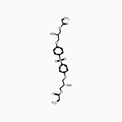 C=CC(=O)OCC(O)COc1ccc(S(=O)(=O)c2ccc(OC[C@H](O)COC(=O)C=C)cc2)cc1